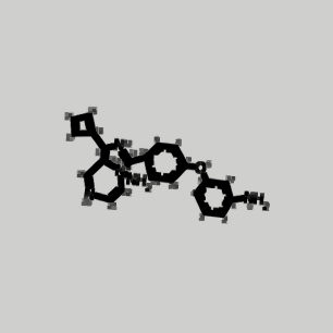 Nc1cccc(Oc2ccc(C3=NC(C4=CC=C4)=C4C=NC=C[N+]34N)cc2)c1